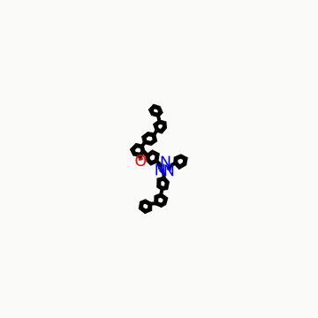 c1ccc(-c2cccc(-c3ccc(-c4nc(-c5ccccc5)nc(-c5ccc6c(c5)oc5cccc(-c7ccc(-c8cccc(-c9ccccc9)c8)cc7)c56)n4)cc3)c2)cc1